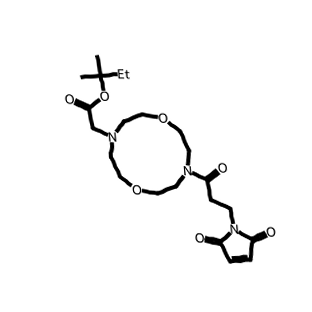 CCC(C)(C)OC(=O)CN1CCOCCN(C(=O)CCN2C(=O)C=CC2=O)CCOCC1